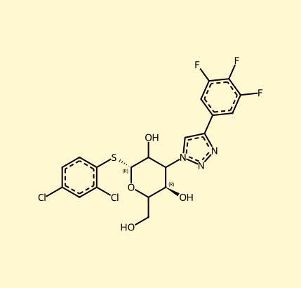 OCC1O[C@H](Sc2ccc(Cl)cc2Cl)C(O)C(n2cc(-c3cc(F)c(F)c(F)c3)nn2)[C@H]1O